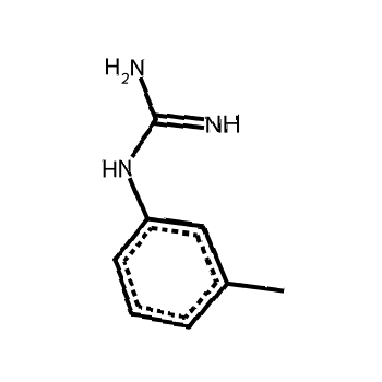 Cc1cccc(NC(=N)N)c1